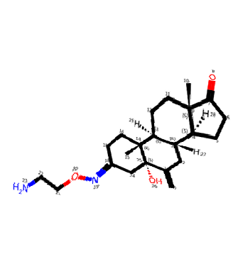 C=C1C[C@H]2[C@@H]3CCC(=O)[C@@]3(C)CC[C@@H]2[C@@]2(C)CCC(=NOCCN)C[C@]12O